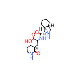 O=C(O)C(C[C@@H]1CCCNC1=O)NC(=O)[C@H]1NC[C@@H]2CCCC[C@@H]21